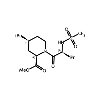 COC(=O)[C@H]1C[C@@H](C(C)(C)C)CCN1C(=O)[C@@H](NS(=O)(=O)C(F)(F)F)C(C)C